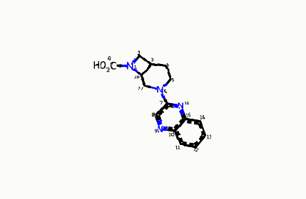 O=C(O)N1CC2CCN(c3cnc4ccccc4n3)CC21